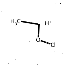 CCOCl.[H+]